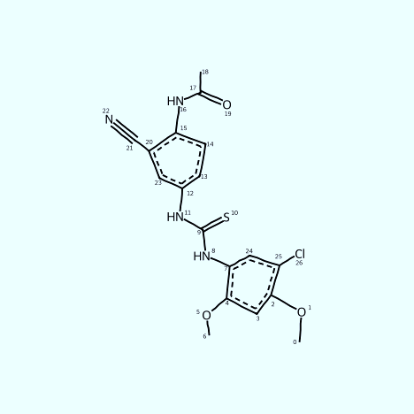 COc1cc(OC)c(NC(=S)Nc2ccc(NC(C)=O)c(C#N)c2)cc1Cl